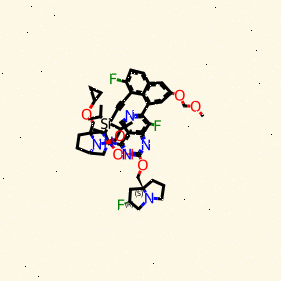 COCOc1cc(-c2ncc3c(N4CC5CCC(COC6CC6)(C4)N5C(=O)O)nc(OC[C@@]45CCCN4C[C@H](F)C5)nc3c2F)c2c(C#C[Si](C(C)C)(C(C)C)C(C)C)c(F)ccc2c1